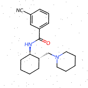 N#Cc1cccc(C(=O)N[C@@H]2CCCC[C@H]2CN2CCCCC2)c1